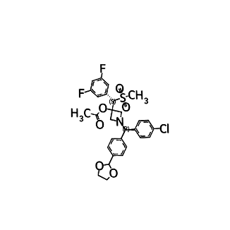 CC(=O)OC1([C@H](c2cc(F)cc(F)c2)S(C)(=O)=O)CN([C@@H](c2ccc(Cl)cc2)c2ccc(C3OCCO3)cc2)C1